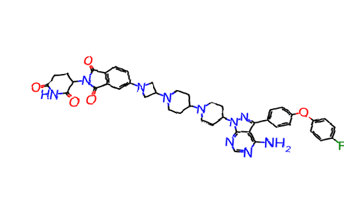 Nc1ncnc2c1c(-c1ccc(Oc3ccc(F)cc3)cc1)nn2C1CCN(C2CCN(C3CN(c4ccc5c(c4)C(=O)N(C4CCC(=O)NC4=O)C5=O)C3)CC2)CC1